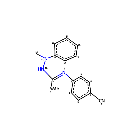 CS/C(=N\c1ccc(C#N)cc1)NN(C)c1ccccc1